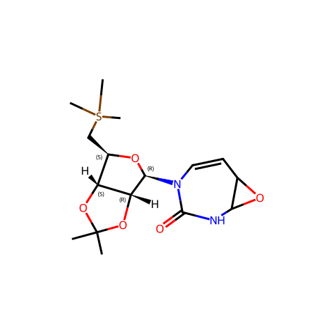 CC1(C)O[C@@H]2[C@H](O1)[C@@H](CS(C)(C)C)O[C@H]2N1C=CC2OC2NC1=O